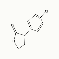 O=C1OCCC1c1ccc(Cl)cc1